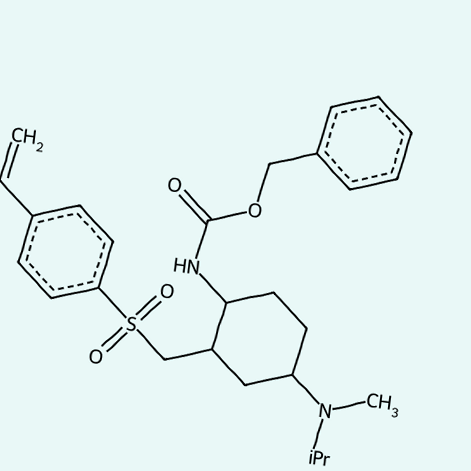 C=Cc1ccc(S(=O)(=O)CC2CC(N(C)C(C)C)CCC2NC(=O)OCc2ccccc2)cc1